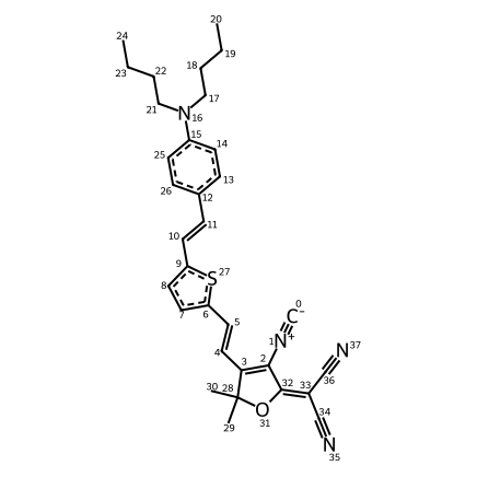 [C-]#[N+]C1=C(/C=C/c2ccc(/C=C/c3ccc(N(CCCC)CCCC)cc3)s2)C(C)(C)OC1=C(C#N)C#N